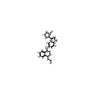 CCCC1CCC(Oc2ccc3nnc(C4CCCN4C)n3c2)c2ccccc21